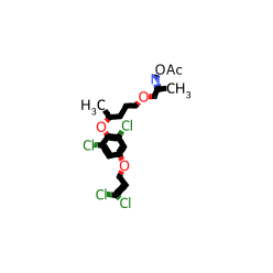 CC(=O)ON=C(C)COCCCC(C)Oc1c(Cl)cc(OCC=C(Cl)Cl)cc1Cl